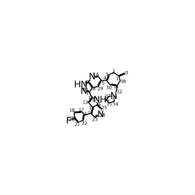 C=C1CC=C(c2cnc3[nH]nc(-c4cc5c(-c6ccc(F)cc6)cncc5[nH]4)c3c2)C=C(CN2CCCC2)C1